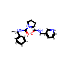 C[C@@H](NC(=O)N1CCC[C@@H]1C(=O)NCc1cccnc1)c1ccccc1